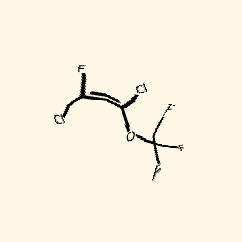 FC(Cl)=C(Cl)OC(F)(F)F